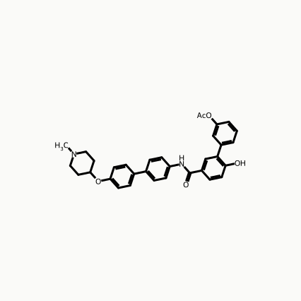 CC(=O)Oc1cccc(-c2cc(C(=O)Nc3ccc(-c4ccc(OC5CCN(C)CC5)cc4)cc3)ccc2O)c1